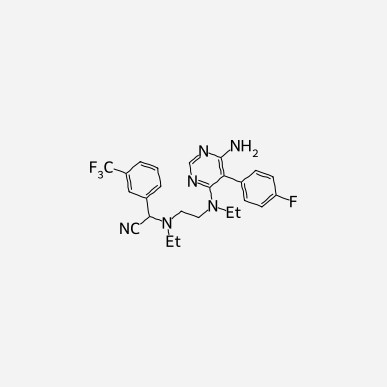 CCN(CCN(CC)C(C#N)c1cccc(C(F)(F)F)c1)c1ncnc(N)c1-c1ccc(F)cc1